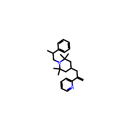 C=C(CC1CC(C)(C)N(CC(C)c2ccccc2)C(C)(C)C1)c1ccccn1